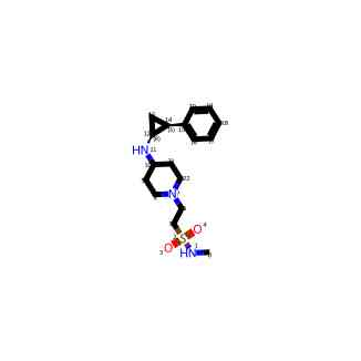 CNS(=O)(=O)CCN1CCC(N[C@@H]2C[C@H]2c2ccccc2)CC1